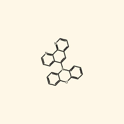 c1ccc2c(c1)Oc1ccccc1N2c1cc2cccnc2c2ncccc12